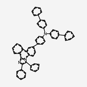 c1ccc(-c2ccc(N(c3ccc(-c4ccccc4)cc3)c3ccc(-c4ccc5c(c4)c4ccccc4c4nc(-c6ccccc6)c(-c6ccccc6)n54)cc3)cc2)cc1